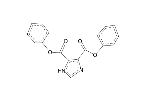 O=C(Oc1ccccc1)c1nc[nH]c1C(=O)Oc1ccccc1